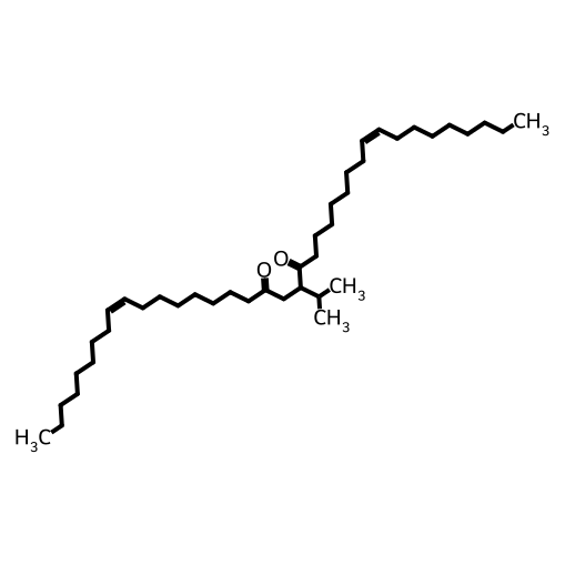 CCCCCCCC/C=C\CCCCCCCC(=O)CC(C(=O)CCCCCCC/C=C\CCCCCCCC)C(C)C